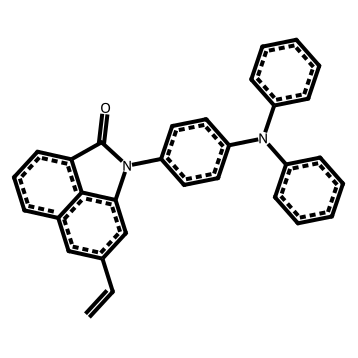 C=Cc1cc2c3c(cccc3c1)C(=O)N2c1ccc(N(c2ccccc2)c2ccccc2)cc1